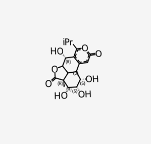 CC(C)c1oc(=O)cc2c1[C@@H](O)C1OC(=O)[C@]3(C)C1[C@]2(C)[C@H](O)[C@H](O)[C@@H]3O